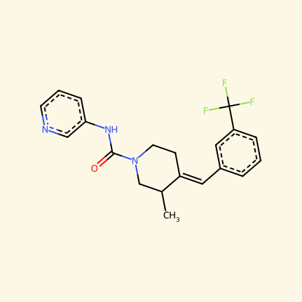 CC1CN(C(=O)Nc2cccnc2)CCC1=Cc1cccc(C(F)(F)F)c1